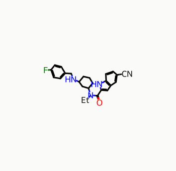 CCN(C(=O)c1cc2cc(C#N)ccc2[nH]1)C1CCCC(NCc2ccc(F)cc2)C1